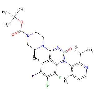 Cc1ccnc(C(C)C)c1-n1c(=O)nc(N2CCN(C(=O)OC(C)(C)C)C[C@@H]2C)c2cc(I)c(Br)c(F)c21